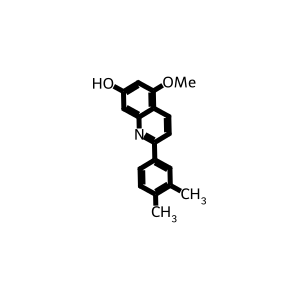 COc1cc(O)cc2nc(-c3ccc(C)c(C)c3)ccc12